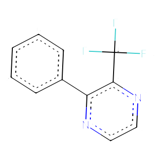 FC(F)(F)c1nccnc1-c1ccccc1